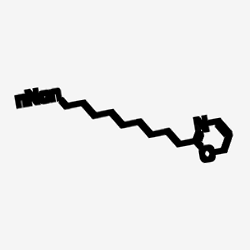 CCCCCCCCCCCCCCCCCCC1=NC=CCO1